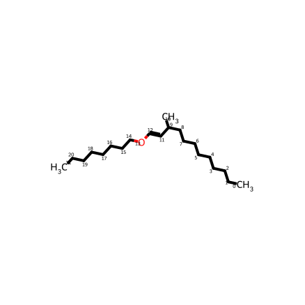 CCCCCCCCCC(C)C=COCCCCCCCC